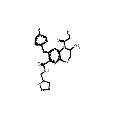 CC1COc2nc(C(=O)NCC3CCCO3)c(Cc3ccc(F)cc3)cc2N1C(=O)CCl